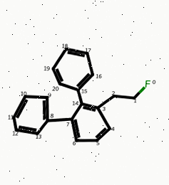 FCCc1cccc(-c2ccccc2)c1-c1ccccc1